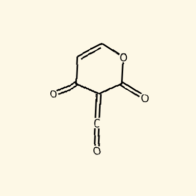 O=C=C1C(=O)C=COC1=O